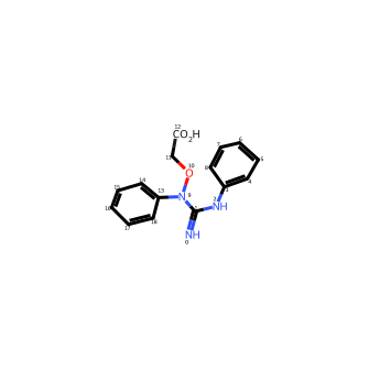 N=C(Nc1ccccc1)N(OCC(=O)O)c1ccccc1